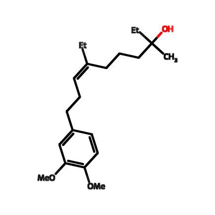 CCC(=CCCc1ccc(OC)c(OC)c1)CCCC(C)(O)CC